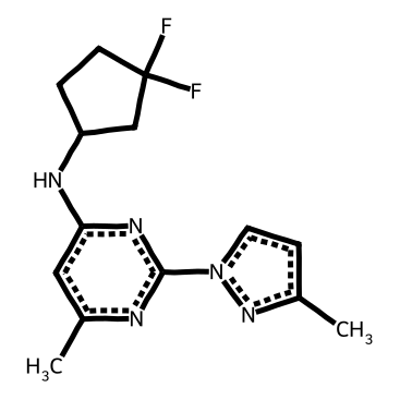 Cc1cc(NC2CCC(F)(F)C2)nc(-n2ccc(C)n2)n1